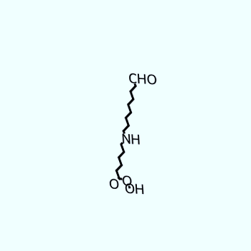 O=CCCCCCCCCNCCCCCC(=O)OO